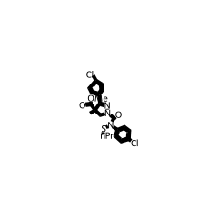 CCCSN(C(=O)N1CC(C)(C(=O)OC)C(c2ccc(Cl)cc2)=N1)c1ccc(Cl)cc1